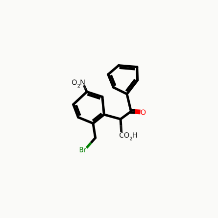 O=C(O)C(C(=O)c1ccccc1)c1cc([N+](=O)[O-])ccc1CBr